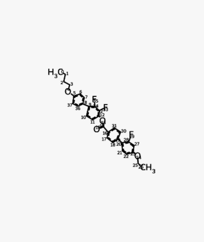 CCCCOc1ccc(-c2ccc(OC(=O)c3ccc(-c4ccc(OCC)cc4F)cc3)c(F)c2F)cc1